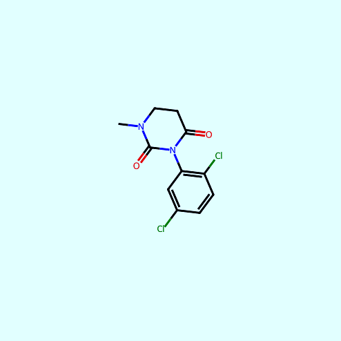 CN1CCC(=O)N(c2cc(Cl)ccc2Cl)C1=O